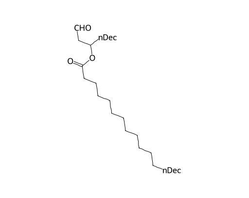 CCCCCCCCCCCCCCCCCCCCCC(=O)OC(CC=O)CCCCCCCCCC